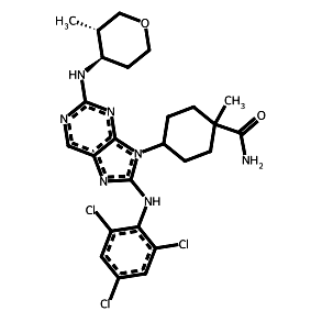 C[C@@H]1COCC[C@H]1Nc1ncc2nc(Nc3c(Cl)cc(Cl)cc3Cl)n(C3CCC(C)(C(N)=O)CC3)c2n1